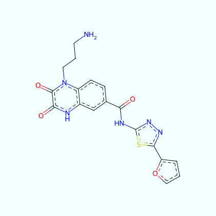 NCCCn1c(=O)c(=O)[nH]c2cc(C(=O)Nc3nnc(-c4ccco4)s3)ccc21